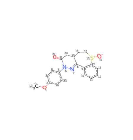 COc1ccc(N2N=C3c4ccccc4[S+]([O-])CCC3CC2=O)cc1